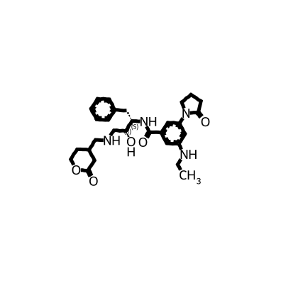 CCNc1cc(C(=O)N[C@@H](Cc2ccccc2)[C@H](O)CNCC2CCOC(=O)C2)cc(N2CCCC2=O)c1